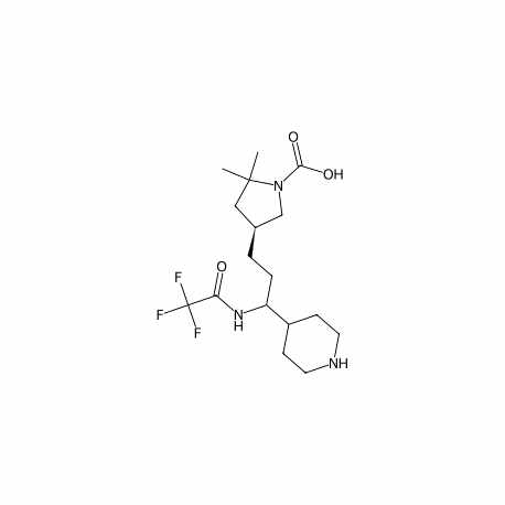 CC1(C)C[C@H](CCC(NC(=O)C(F)(F)F)C2CCNCC2)CN1C(=O)O